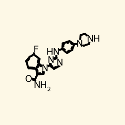 NC(=O)c1cn(-c2ccnc(Nc3ccc(N4CCNCC4)cc3)n2)c2c1=CC=CC(F)C=2